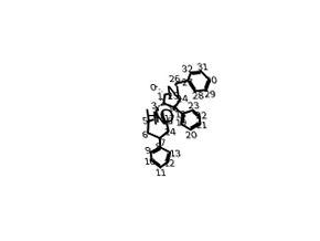 C[C@H]1[C@@H](CN2CCC(c3ccccc3)CC2)C(O)(c2ccccc2)CN1Cc1ccccc1